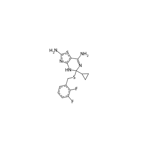 NC1=NC(SCc2cccc(F)c2F)(C2CC2)Nc2nc(N)sc21